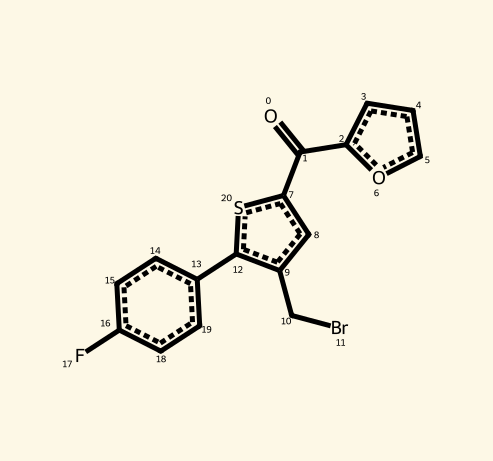 O=C(c1ccco1)c1cc(CBr)c(-c2ccc(F)cc2)s1